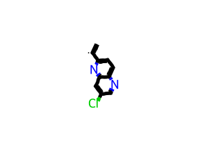 C=[C]c1ccc2ncc(Cl)cc2n1